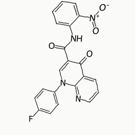 O=C(Nc1ccccc1[N+](=O)[O-])c1cn(-c2ccc(F)cc2)c2ncccc2c1=O